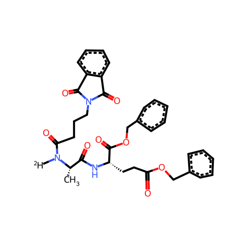 [2H]N(C(=O)CCCN1C(=O)c2ccccc2C1=O)[C@@H](C)C(=O)N[C@@H](CCC(=O)OCc1ccccc1)C(=O)OCc1ccccc1